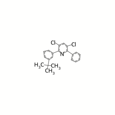 CC(C)(C)c1cccc(-c2nc(-c3ccccc3)c(Cl)cc2Cl)c1